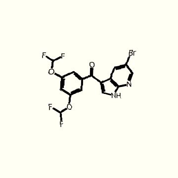 O=C(c1cc(OC(F)F)cc(OC(F)F)c1)c1c[nH]c2ncc(Br)cc12